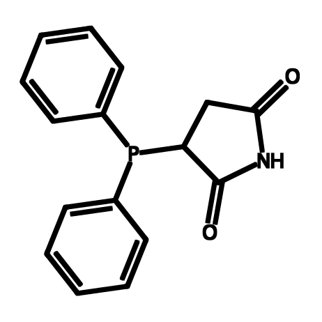 O=C1CC(P(c2ccccc2)c2ccccc2)C(=O)N1